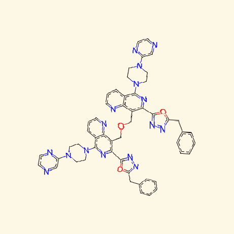 c1ccc(Cc2nnc(-c3nc(N4CCN(c5cnccn5)CC4)c4cccnc4c3COCc3c(-c4nnc(Cc5ccccc5)o4)nc(N4CCN(c5cnccn5)CC4)c4cccnc34)o2)cc1